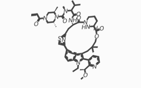 C=CC(=O)N1C[C@@H](C)N(C(=O)N(C)C(C(=O)N[C@H]2Cc3nc(cs3)-c3ccc4c(c3)c(c(-c3cccnc3[C@H](C)OC)n4CC)CC(C)(C)COC(=O)[C@@H]3CCCN(N3)C2=O)C(C)C)[C@H](C)C1